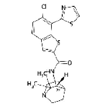 CC1(C)[C@H](NC(=O)c2cc3ccc(Cl)c(-c4nccs4)c3s2)C2CCN1CC2